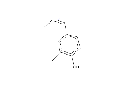 C/C=C\c1ccc(O)c(C)c1